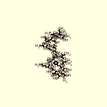 CC[C@H](C)[C@H](N)C(=O)N[C@H](C(=O)N[C@@H](Cc1ccccc1)C(=O)N[C@@H](CO)C(=O)N[C@H](C(=O)N[C@@H](CO)C(=O)N[C@H](C(=O)NCC(=O)N[C@@H](CCCCN)C(=O)N[C@@H](CO)C(=O)NCC(=O)N[C@@H](C)C(=O)N[C@@H](Cc1c[nH]cn1)C(=O)NCC(=O)N[C@@H](CC(N)=O)C(=O)N[C@@H](CC(=O)O)C(=O)N[C@@H](CC(=O)O)C(=O)N[C@H](C(=O)N[C@H](C(=O)N[C@@H](C)C(=O)O)[C@@H](C)CC)[C@@H](C)CC)[C@@H](C)O)[C@@H](C)O)C(C)C